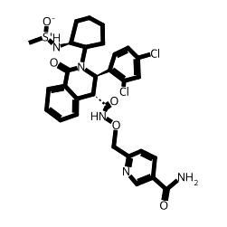 C[S+]([O-])N[C@H]1CCCCC1N1C(=O)c2ccccc2[C@@H](C(=O)NOCc2ccc(C(N)=O)cn2)[C@@H]1c1ccc(Cl)cc1Cl